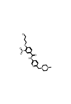 CN1CCN(Cc2ccc(NC(=O)c3ccc(OCCCCl)c([N+](=O)[O-])c3)cn2)CC1